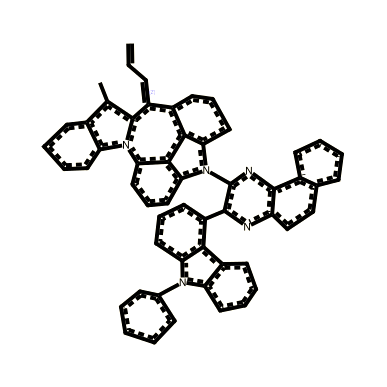 C=C/C=c1/c2cccc3c2c2c(cccc2n2c1c(C)c1ccccc12)n3-c1nc2c(ccc3ccccc32)nc1-c1cccc2c1c1ccccc1n2-c1ccccc1